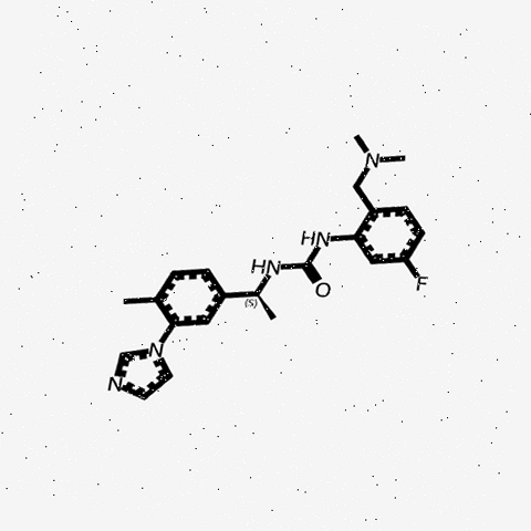 Cc1ccc([C@H](C)NC(=O)Nc2cc(F)ccc2CN(C)C)cc1-n1ccnc1